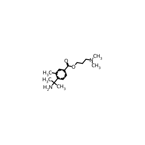 Cc1cc(C(=O)OCCCN(C)C)ccc1C(C)(C)N